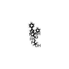 CC(C)(O)[C@H](F)CNC(=O)c1cnn2cc(-c3ccccc3)cc2c1NC1CCCC1